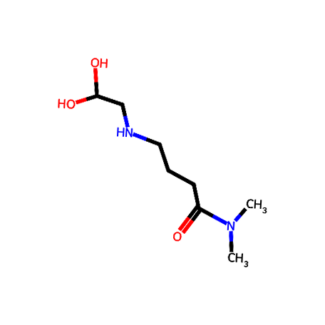 CN(C)C(=O)CCCNCC(O)O